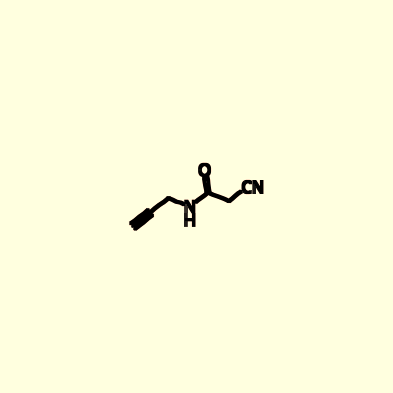 C#CCNC(=O)CC#N